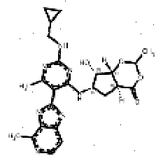 Cc1nc(NCC2CC2)nc(N[C@@H]2C[C@@H]3C(=O)OC(C)O[C@H]3[C@H]2O)c1-c1nc2c(C)nccc2s1